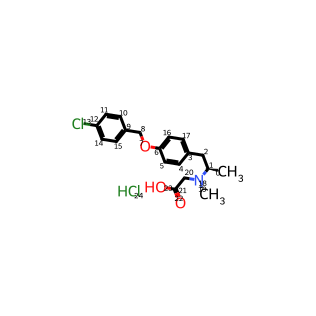 C[C@H](Cc1ccc(OCc2ccc(Cl)cc2)cc1)N(C)CC(=O)O.Cl